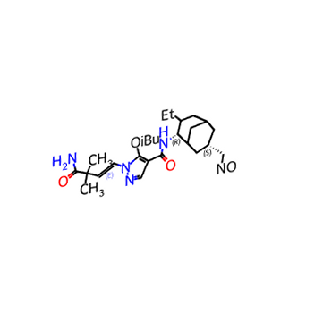 CCC1CC2CC(C[C@@H](CN=O)C2)[C@@H]1NC(=O)c1cnn(/C=C/C(C)(C)C(N)=O)c1OCC(C)C